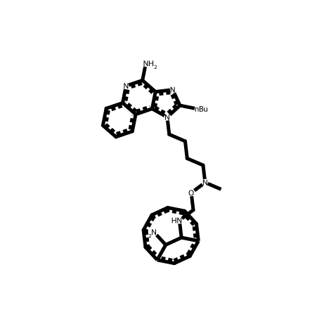 CCCCc1nc2c(N)nc3ccccc3c2n1CCCCN(C)OCNC1c2ccccccc(cc2)C1N